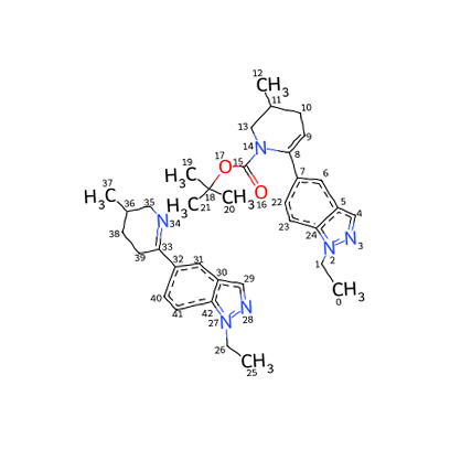 CCn1ncc2cc(C3=CCC(C)CN3C(=O)OC(C)(C)C)ccc21.CCn1ncc2cc(C3=NCC(C)CC3)ccc21